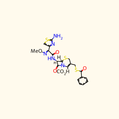 CON=C(C(=O)N[C@@H]1C(=O)N2C(C(=O)O)=C(CSC(=O)c3ccccc3)CS[C@H]12)c1csc(N)n1